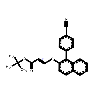 CC(C)(C)OC(=O)/C=C/Oc1ccc2ccccc2c1-c1ccc(C#N)cc1